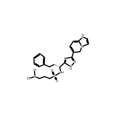 CCN(CC)CCCS(=O)(=O)N[C@H](CCc1ccccc1)c1nc(C2=CC=C3NC=CN3C2)n[nH]1